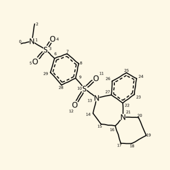 CN(C)S(=O)(=O)c1ccc(S(=O)(=O)N2CCC3CCCCN3c3ccccc32)cc1